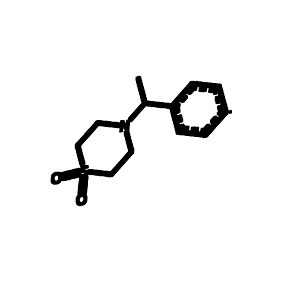 CC(c1cc[c]cc1)N1CCS(=O)(=O)CC1